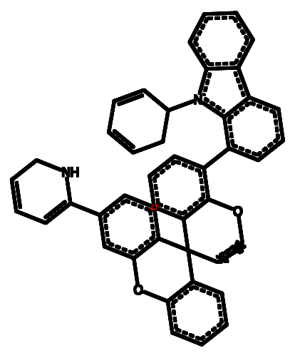 C1=CCNC(c2ccc3c(c2)Oc2ccccc2C32c3ccccc3Oc3c(-c4cccc5c6ccccc6n(C6C=CC=CC6)c45)cccc32)=C1